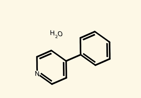 O.c1ccc(-c2ccncc2)cc1